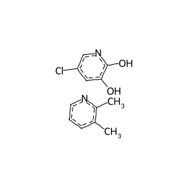 Cc1cccnc1C.Oc1cc(Cl)cnc1O